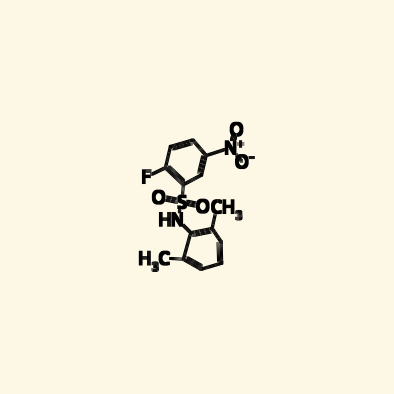 Cc1cccc(C)c1NS(=O)(=O)c1cc([N+](=O)[O-])ccc1F